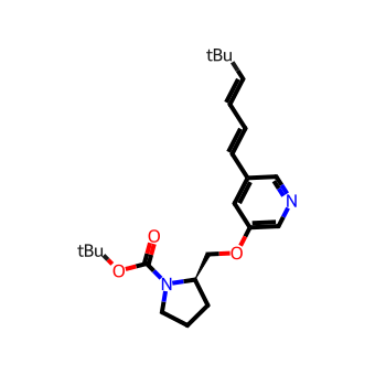 CC(C)(C)C=CC=Cc1cncc(OC[C@H]2CCCN2C(=O)OC(C)(C)C)c1